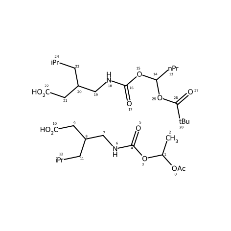 CC(=O)OC(C)OC(=O)NCC(CC(=O)O)CC(C)C.CCCC(OC(=O)NCC(CC(=O)O)CC(C)C)OC(=O)C(C)(C)C